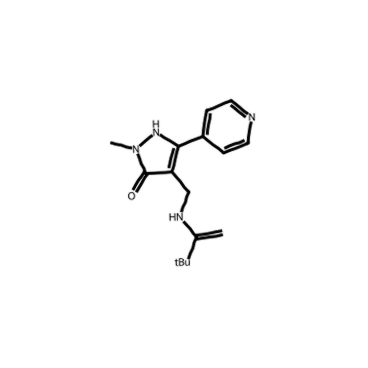 C=C(NCc1c(-c2ccncc2)[nH]n(C)c1=O)C(C)(C)C